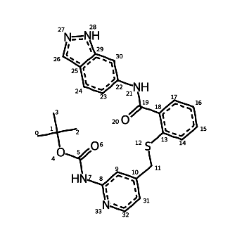 CC(C)(C)OC(=O)Nc1cc(CSc2ccccc2C(=O)Nc2ccc3cn[nH]c3c2)ccn1